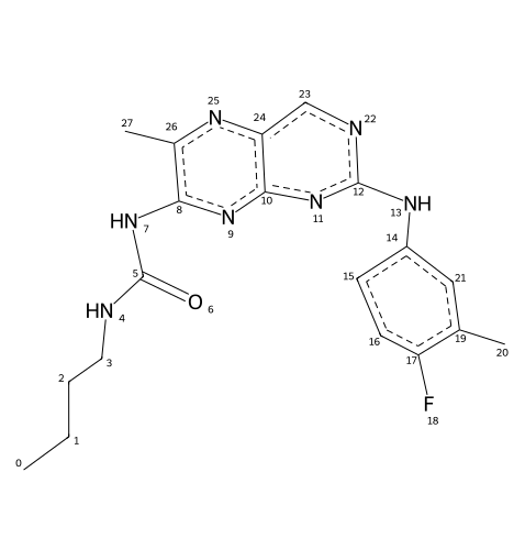 CCCCNC(=O)Nc1nc2nc(Nc3ccc(F)c(C)c3)ncc2nc1C